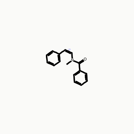 CN(/C=C\c1ccccc1)C(=O)c1ccccc1